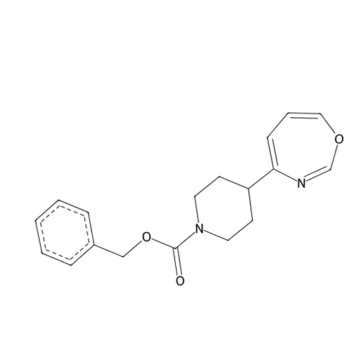 O=C(OCc1ccccc1)N1CCC(C2=CC=COC=N2)CC1